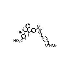 CNC(=O)CN1CCN(CCON(C)C(=O)c2ccc(NC(=C3C(=O)Nc4cc(C(=O)O)c(C)cc43)c3ccccc3)cc2)CC1